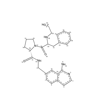 Nc1nccc2ccc(CNC(=O)[C@@H]3CCCN3C(=O)C(Cc3ccccc3)NCC(=O)O)cc12